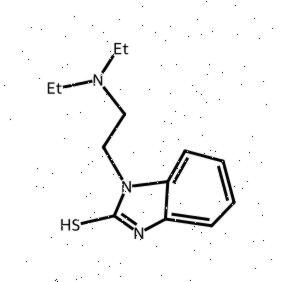 CCN(CC)CCn1c(S)nc2ccccc21